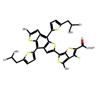 CCCCCCCC(=O)c1sc2c(-c3cc4c(-c5ccc(CC(CC)CCCC)s5)c5sc(C(C)(C)C)cc5c(-c5ccc(CC(CC)CCCC)s5)c4s3)sc(C(C)(C)C)c2c1F